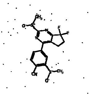 C[S+]([O-])c1nc(-c2ccc(C#N)c([S+](C)[O-])c2)c2c(n1)C(F)(F)CC2